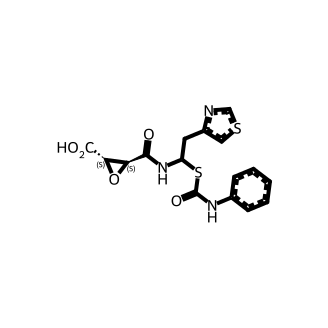 O=C(Nc1ccccc1)SC(Cc1cscn1)NC(=O)[C@H]1O[C@@H]1C(=O)O